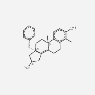 Cc1c(O)ccc2c1CCC1=C3C[C@@H](O)C[C@@]3(Cc3ccccc3)CC[C@@]12C